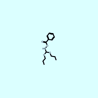 CCCOC(NOC(=O)c1ccccc1)OCCC